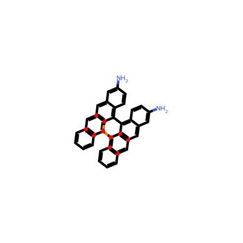 Nc1ccc2c(-c3c(P(c4ccccc4)c4ccccc4)ccc4cc(N)ccc34)c(P(c3ccccc3)c3ccccc3)ccc2c1